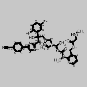 CNCC(=O)OCc1cccnc1N(C)C(=O)OC(C)N1C=NN(CC(O)(c2cc(F)ccc2F)[C@@H](C)c2nc(-c3ccc(C#N)cc3)cs2)C1